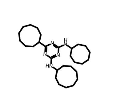 C1CCCCC(Nc2nc(NC3CCCCCCC3)nc(C3CCCCCCCC3)n2)CCC1